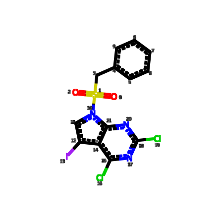 O=S(=O)(Cc1ccccc1)n1cc(I)c2c(Cl)nc(Cl)nc21